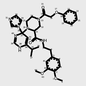 COc1ccc(CCNC(=O)C2CN(C(=O)COc3ccccc3)CCN2C2(n3ccnc3)C=C(C(C)C)NC=N2)cc1OC